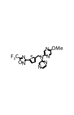 COc1cnc(N(Cc2ccc(-c3noc(C(F)(F)F)n3)s2)c2cnccn2)cn1